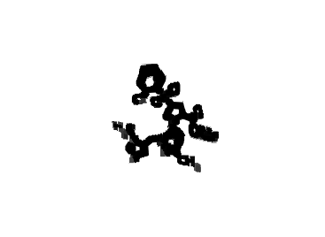 COC(=O)C1CC(S(=O)(=O)c2ccccc2Cl)CN1c1cc(C)nn1Cc1cncn1C